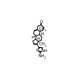 C[C@]12CCC(=O)CC1=CC[C@@H]1[C@@H]2CC[C@]2(C)C(c3c[nH]c(N)n3)=CC[C@@H]12